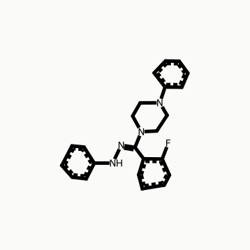 Fc1ccccc1/C(=N\Nc1ccccc1)N1CCN(c2ccccc2)CC1